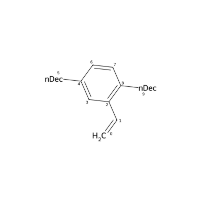 C=Cc1cc(CCCCCCCCCC)ccc1CCCCCCCCCC